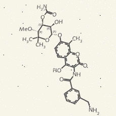 CO[C@@H]1[C@@H](OC(N)=O)[C@@H](O)[C@H](Oc2ccc3c(O)c(NC(=O)c4cccc(CN)c4)c(=O)oc3c2C)OC1(C)C